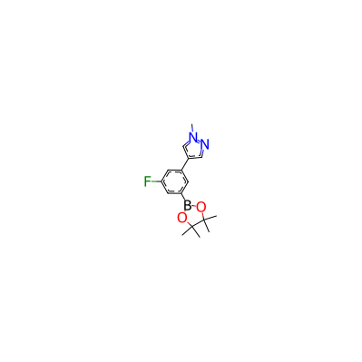 Cn1cc(-c2cc(F)cc(B3OC(C)(C)C(C)(C)O3)c2)cn1